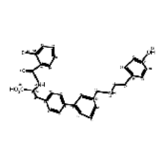 O=C(N[C@@H](Cc1ccc(-c2cccc(CNCCc3ccc(O)cc3)c2)cc1)C(=O)O)c1ccccc1Cl